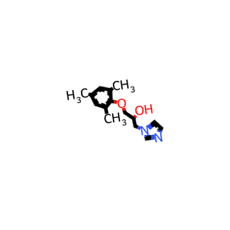 Cc1cc(C)c(OCC(O)Cn2ccnc2)c(C)c1